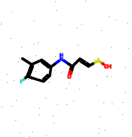 Cc1cc(NC(=O)C=CSO)ccc1F